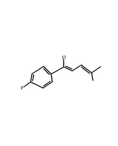 CC(C)=CC=C(Cl)c1ccc(F)cc1